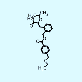 CCOCc1ccc(C(=O)OCc2ccccc2CC(OC(C)C)C(=O)O)cc1